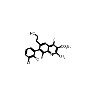 CCOC(=O)c1c(C)nc2c(F)c(-c3cccc(Cl)c3Cl)c(CCC#N)cc2c1Cl